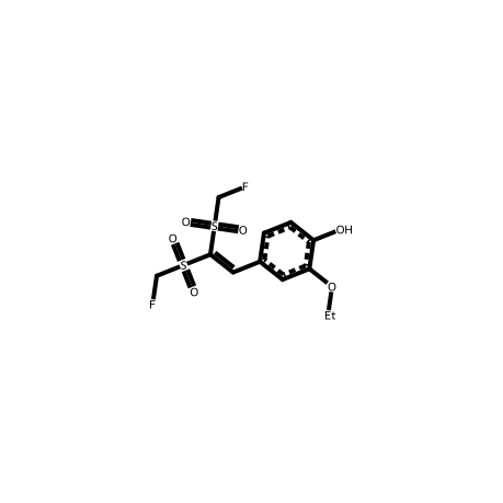 CCOc1cc(C=C(S(=O)(=O)CF)S(=O)(=O)CF)ccc1O